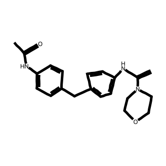 C=C(Nc1ccc(Cc2ccc(NC(C)=O)cc2)cc1)N1CCOCC1